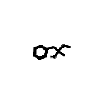 COC(C)(O)Cc1ccccc1